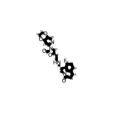 O=C1O[C@H](CCNC[C@H]2Cn3c(=O)ccc4ccc(F)c2c43)CN1c1cc2c(cn1)OCCO2